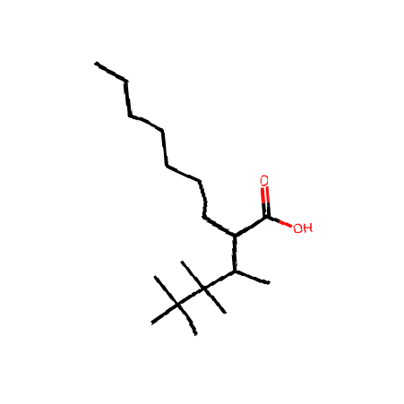 CCCCCCCC(C(=O)O)C(C)C(C)(C)C(C)(C)C